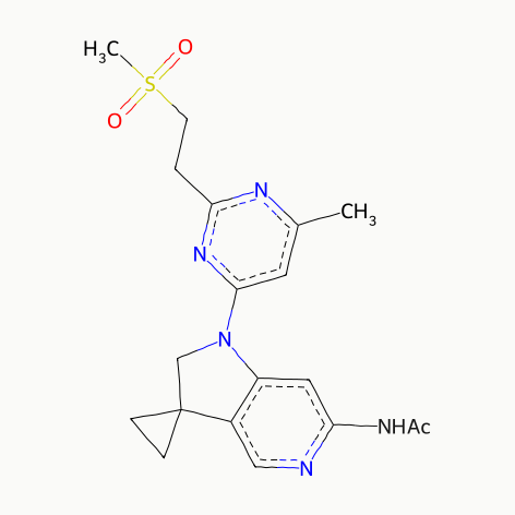 CC(=O)Nc1cc2c(cn1)C1(CC1)CN2c1cc(C)nc(CCS(C)(=O)=O)n1